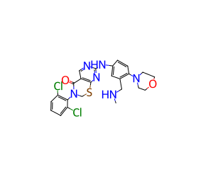 CNCc1cc(Nc2ncc3c(n2)SCN(c2c(Cl)cccc2Cl)C3=O)ccc1N1CCOCC1